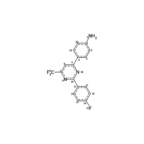 Nc1ccc(-c2cc(C(F)(F)F)nc(-c3ccc(F)cc3)n2)cc1